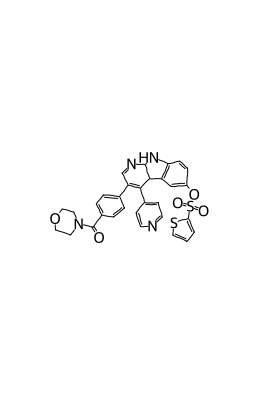 O=C(c1ccc(C2=C(c3ccncc3)C3c4cc(OS(=O)(=O)c5cccs5)ccc4NC3N=C2)cc1)N1CCOCC1